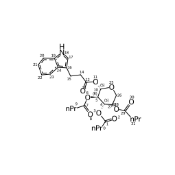 CCCC(=O)O[C@@H]1[C@@H](OC(=O)CCC)[C@H](OC(=O)CCc2c[nH]c3ccccc23)OC[C@@H]1OC(=O)CCC